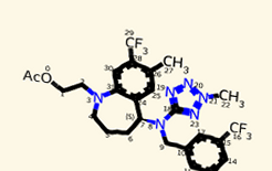 CC(=O)OCCN1CCC[C@H](N(Cc2cc(C(F)(F)F)cc(C(F)(F)F)c2)c2nnn(C)n2)c2cc(C)c(C(F)(F)F)cc21